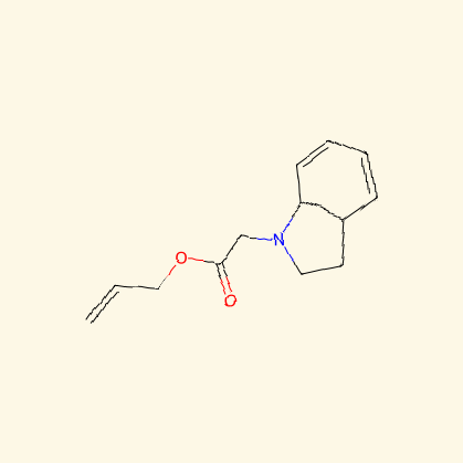 C=CCOC(=O)CN1CCC2C=CC=CC21